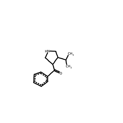 CC(C)C1CNCC1C(=O)c1ccccc1